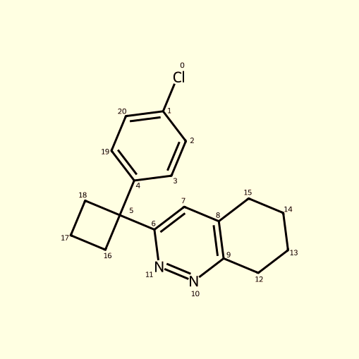 Clc1ccc(C2(c3cc4c(nn3)CCCC4)CCC2)cc1